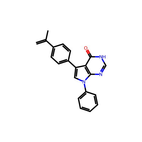 C=C(C)c1ccc(-c2cn(-c3ccccc3)c3nc[nH]c(=O)c23)cc1